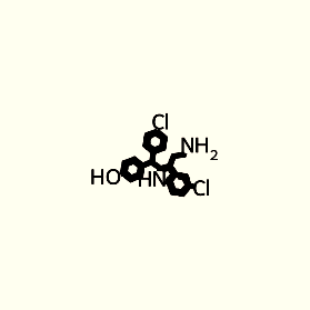 NCCc1c(C(c2ccc(O)cc2)c2ccc(Cl)cc2)[nH]c2ccc(Cl)cc12